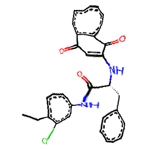 Cc1ccc(NC(=O)[C@@H](Cc2ccccc2)NC2=CC(=O)c3ccccc3C2=O)cc1Cl